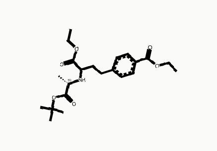 CCOC(=O)c1ccc(CCC(N[C@@H](C)C(=O)OC(C)(C)C)C(=O)OCC)cc1